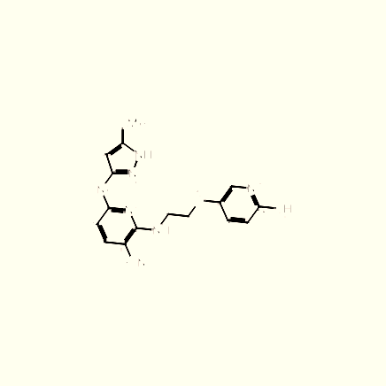 CSc1cc(Nc2ccc(C#N)c(NCCOc3ccc(C)nc3)n2)n[nH]1